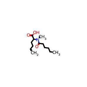 C=CCCC(C(=O)O)N(C)C(=O)CCCCC